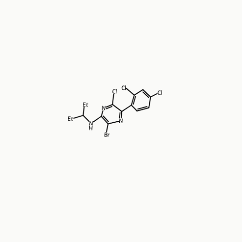 CCC(CC)Nc1nc(Cl)c(-c2ccc(Cl)cc2Cl)nc1Br